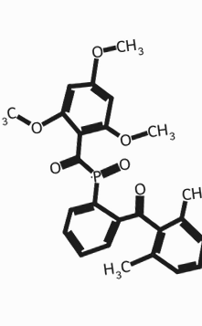 COc1cc(OC)c(C(=O)[P](=O)c2ccccc2C(=O)c2c(C)cccc2C)c(OC)c1